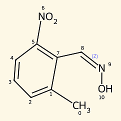 Cc1cccc([N+](=O)[O-])c1/C=N\O